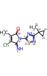 CC1=C(Cl)C(=N)N(c2nc(C3(C)CC3)ns2)C1=O